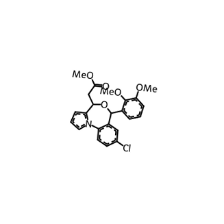 COC(=O)CC1OC(c2cccc(OC)c2OC)c2cc(Cl)ccc2-n2cccc21